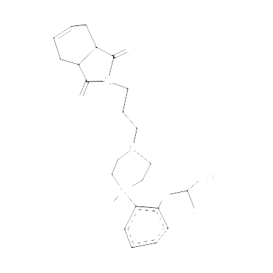 CC(C)Oc1ccccc1[N+]1([O-])CCN(CCCN2C(=O)C3CC=CCC3C2=O)CC1